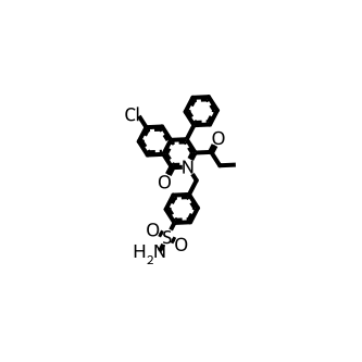 CCC(=O)c1c(-c2ccccc2)c2cc(Cl)ccc2c(=O)n1Cc1ccc(S(N)(=O)=O)cc1